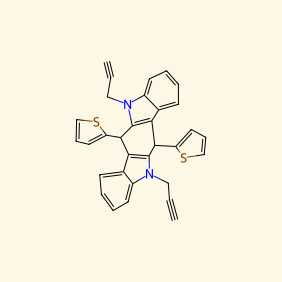 C#CCn1c2c(c3ccccc31)C(c1cccs1)c1c(c3ccccc3n1CC#C)C2c1cccs1